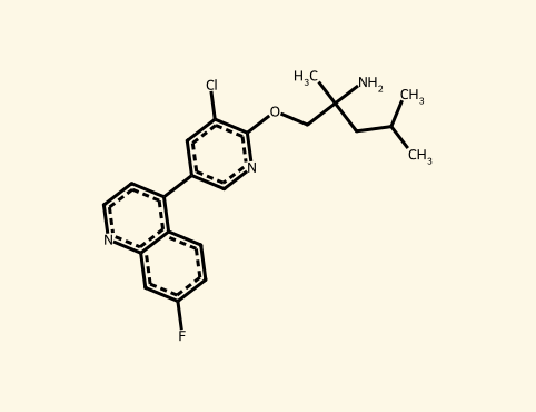 CC(C)CC(C)(N)COc1ncc(-c2ccnc3cc(F)ccc23)cc1Cl